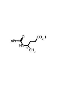 CCCC(=O)N[C@H](C)CCC(=O)O